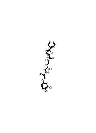 O=C(COc1ccc(Cl)c(Cl)c1)NC[C@@H](O)CCNC(=O)c1cnc(-c2ccccc2)o1